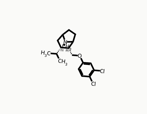 CC(C)[C@@H]1CC2CCC([C@@H]1COc1ccc(Cl)c(Cl)c1)N2C